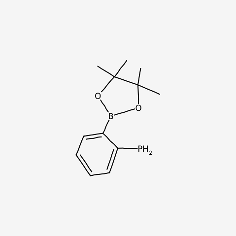 CC1(C)OB(c2ccccc2P)OC1(C)C